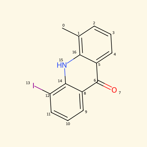 Cc1cccc2c(=O)c3cccc(I)c3[nH]c12